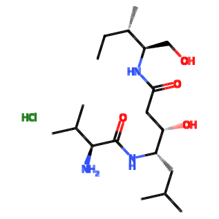 CC[C@H](C)[C@@H](CO)NC(=O)C[C@H](O)[C@H](CC(C)C)NC(=O)[C@@H](N)C(C)C.Cl